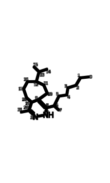 CCCCCCC(C)C1=C2CCC(C(C)C)CCCC2C(C)=NN1